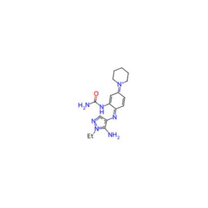 CCn1ncc(/N=C2/C=CC(=[N+]3CCCCC3)C=C2NC(N)=O)c1N